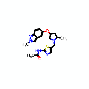 CC(=O)Nc1ncc(CN2CC(Oc3ccc4nn(C)cc4c3)CC2C)s1